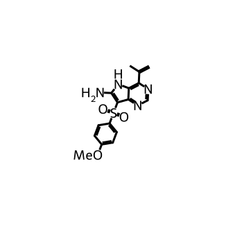 C=C(C)c1ncnc2c(S(=O)(=O)c3ccc(OC)cc3)c(N)[nH]c12